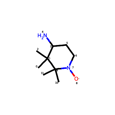 CC1(C)C(N)CCN([O])C1(C)C